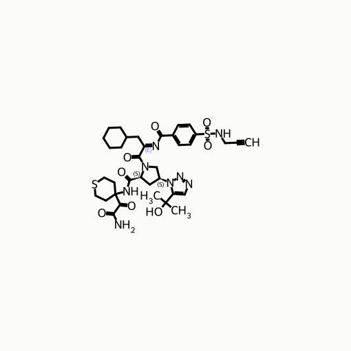 C#CCNS(=O)(=O)c1ccc(C(=O)/N=C(\CC2CCCCC2)C(=O)N2C[C@@H](n3nncc3C(C)(C)O)C[C@H]2C(=O)NC2(C(=O)C(N)=O)CCSCC2)cc1